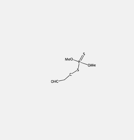 COP(=S)(OC)SCCC=O